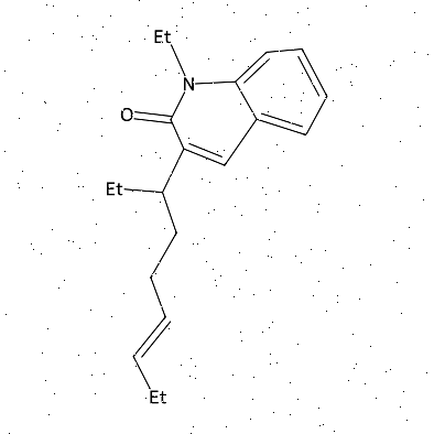 CCC=CCCC(CC)c1cc2ccccc2n(CC)c1=O